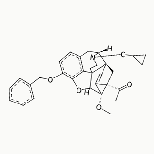 CO[C@]12C3=C[C@@]4(C[C@]31C(C)=O)[C@H]1Cc3ccc(OCc5ccccc5)c5c3C4(CCN1CC1CC1)[C@H]2O5